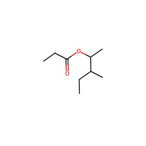 C[CH]C(=O)OC(C)C(C)CC